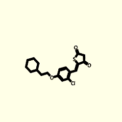 O=C1CC(=O)/C(=C/c2ccc(OCCC3CCCCC3)cc2Cl)S1